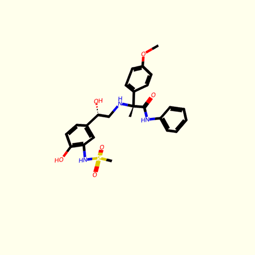 COc1ccc([C@@](C)(NC[C@@H](O)c2ccc(O)c(NS(C)(=O)=O)c2)C(=O)Nc2ccccc2)cc1